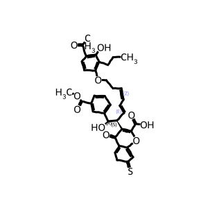 CCCc1c(OCC/C=C\C=C\[C@@H](c2c(C(=O)O)oc3c(c2=O)=CCC(=S)C=3)[C@@H](O)c2cccc(C(=O)OC)c2)ccc(C(C)=O)c1O